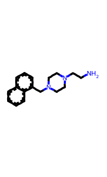 NCCN1CCN(Cc2cccc3ccccc23)CC1